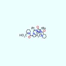 CC(C)[C@@H](CN1CCC[C@H]1C(=O)N1CCCC[C@H]1C(=O)O)N(C)C(=O)[C@@H](NC(=O)C1CCCCN1C)C(C)(C)C